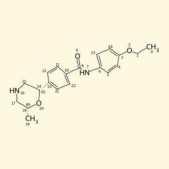 CCOc1ccc(NC(=O)c2ccc([C@H]3CNC[C@@H](C)O3)cc2)cc1